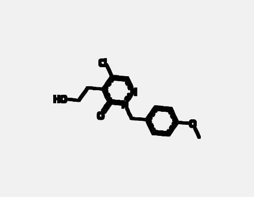 COc1ccc(Cn2ncc(Cl)c(CCO)c2=O)cc1